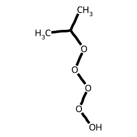 CC(C)OOOOO